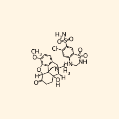 COc1ccc2c3c1O[C@H]1C(=O)CC[C@@]4(O)[C@@H](C2)N(C)CC[C@]314.NS(=O)(=O)c1cc2c(cc1Cl)NCNS2(=O)=O